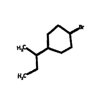 CCC(C)C1CCC(Br)CC1